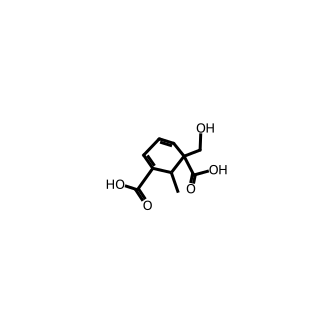 CC1C(C(=O)O)=CC=CC1(CO)C(=O)O